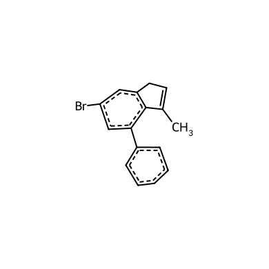 CC1=CCc2cc(Br)cc(-c3ccccc3)c21